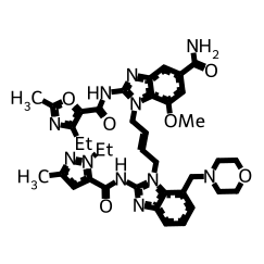 CCc1nc(C)oc1C(=O)Nc1nc2cc(C(N)=O)cc(OC)c2n1C/C=C/Cn1c(NC(=O)c2cc(C)nn2CC)nc2cccc(CN3CCOCC3)c21